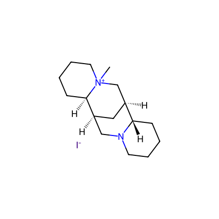 C[N+]12CCCC[C@@H]1[C@H]1C[C@@H](C2)[C@@H]2CCCCN2C1.[I-]